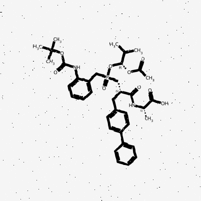 CC(=O)O[C@H](OP(=O)(Cc1ccccc1NC(=O)OC(C)(C)C)C[C@@H](Cc1ccc(-c2ccccc2)cc1)C(=O)N[C@@H](C)C(=O)O)C(C)C